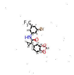 O=C(Nc1cc(Br)cc(C(F)(F)F)c1)C1(c2ccc3c(c2)OCO3)CC1